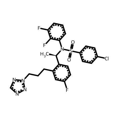 C[C@H](c1ccc(F)cc1CCCn1ncnn1)N(c1cccc(F)c1F)S(=O)(=O)c1ccc(Cl)cc1